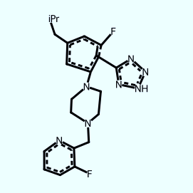 CC(C)Cc1cc(F)c(-c2nn[nH]n2)c(N2CCN(Cc3ncccc3F)CC2)c1